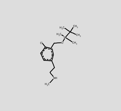 CNCCc1ccc(Cl)c(CO[Si](C)(C)C(C)(C)C)c1